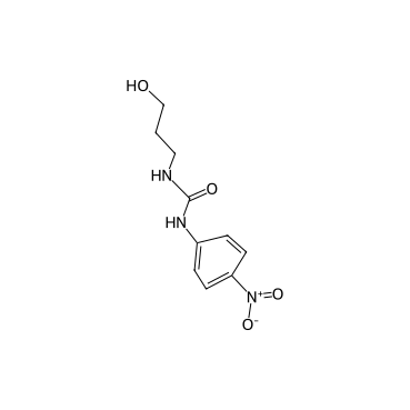 O=C(NCCCO)Nc1ccc([N+](=O)[O-])cc1